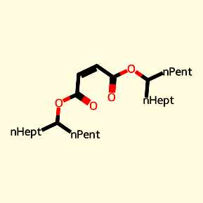 CCCCCCCC(CCCCC)OC(=O)/C=C\C(=O)OC(CCCCC)CCCCCCC